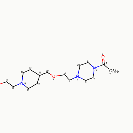 COC(=O)N1CCN(CCOCC2CCN(CCO)CC2)CC1